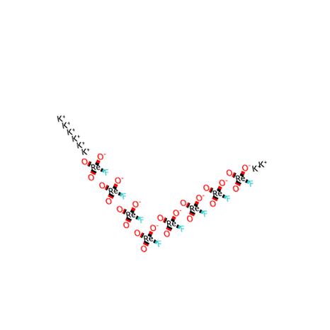 [K+].[K+].[K+].[K+].[K+].[K+].[K+].[K+].[O]=[Re](=[O])([O-])[F].[O]=[Re](=[O])([O-])[F].[O]=[Re](=[O])([O-])[F].[O]=[Re](=[O])([O-])[F].[O]=[Re](=[O])([O-])[F].[O]=[Re](=[O])([O-])[F].[O]=[Re](=[O])([O-])[F].[O]=[Re](=[O])([O-])[F]